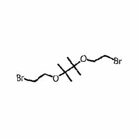 CC(C)(OCCBr)C(C)(C)OCCBr